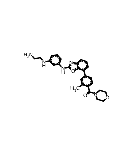 Cc1cc(-c2cccc3nc(Nc4cccc(NCCN)c4)oc23)ccc1C(=O)N1CCOCC1